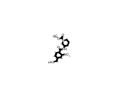 CC(C)(C)OC(=O)N1CCCC(NC(=O)c2ccc(CO)cc2[N+](=O)[O-])C1